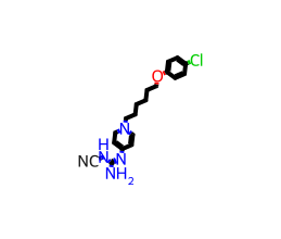 N#CNC(N)=NC1=CCN(CCCCCCOc2ccc(Cl)cc2)C=C1